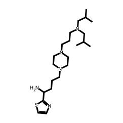 CC(C)CN(CCCN1CCN(CCCC(N)c2nccs2)CC1)CC(C)C